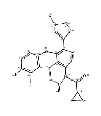 C[C@H]1CCc2c(ccc(C3=CN(C)NN3)c2Oc2ccc(F)c(F)c2)N1C(=O)C1CC1